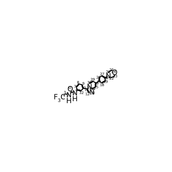 O=C(NCC(F)(F)F)Nc1cccc(-c2cnc3cc(-c4ccc(N5CCOCC5)cc4)ccn23)c1